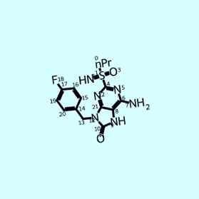 CCCS(=N)(=O)c1nc(N)c2[nH]c(=O)n(Cc3ccc(F)cc3)c2n1